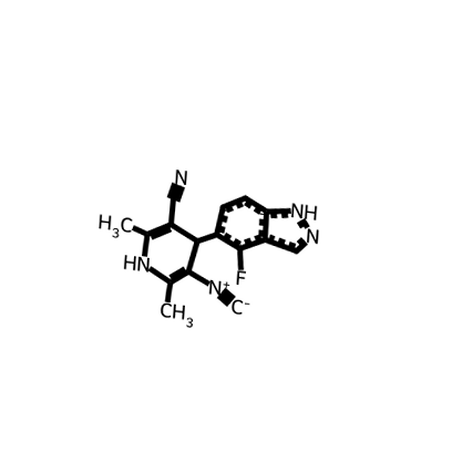 [C-]#[N+]C1=C(C)NC(C)=C(C#N)C1c1ccc2[nH]ncc2c1F